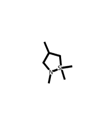 CC1CN(C)[Si](C)(C)C1